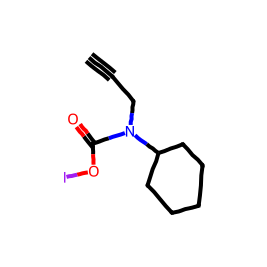 C#CCN(C(=O)OI)C1CCCCC1